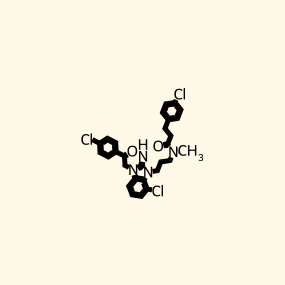 CN(CCCn1c(=N)n(CC(=O)c2ccc(Cl)cc2)c2cccc(Cl)c21)C(=O)CCc1ccc(Cl)cc1